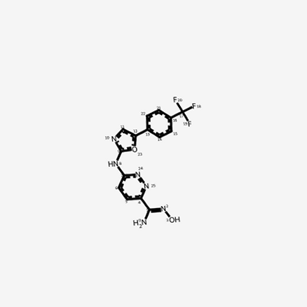 N/C(=N\O)c1ccc(Nc2ncc(-c3ccc(C(F)(F)F)cc3)o2)nn1